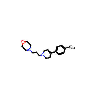 CC(C)(C)c1ccc(C2=CCN(CCCN3CCOCC3)CC2)cc1